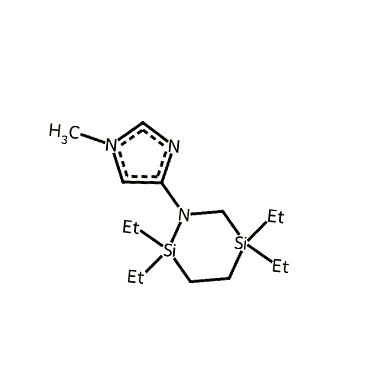 CC[Si]1(CC)CC[Si](CC)(CC)N(c2cn(C)cn2)C1